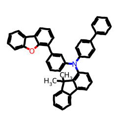 CC1(C)c2ccccc2-c2cccc(N(c3ccc(-c4ccccc4)cc3)c3cccc(-c4cccc5c4oc4ccccc45)c3)c21